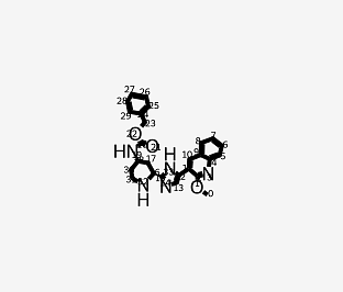 COc1nc2ccccc2cc1-c1cnc([C@@H]2CC(NC(=O)OCc3ccccc3)CCN2)[nH]1